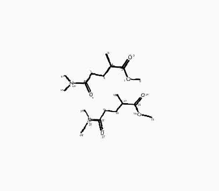 COC(=O)C(C)CCC(=O)N(C)C.COC(=O)C(C)CCC(=O)N(C)C